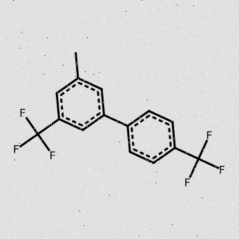 Cc1cc(-c2ccc(C(F)(F)F)cc2)cc(C(F)(F)F)c1